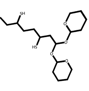 CCC(S)CCC(S)CC(OC1CCCCO1)OC1CCCCO1